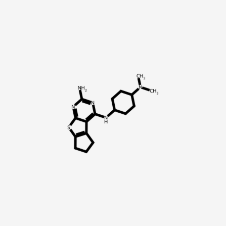 CN(C)C1CCC(Nc2nc(N)nc3sc4c(c23)CCC4)CC1